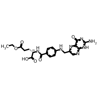 CCOC(=O)CC[C@H](NC(=O)c1ccc(NCc2cnc3[nH]c(N)nc(=O)c3n2)cc1)C(=O)O